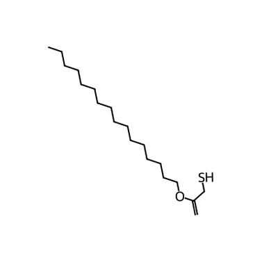 C=C(CS)OCCCCCCCCCCCCCCCC